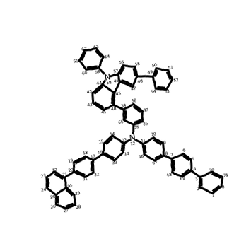 c1ccc(-c2ccc(-c3ccc(N(c4ccc(-c5ccc(-c6cccc7ccccc67)cc5)cc4)c4cccc(-c5cccc6c5c5cc(-c7ccccc7)ccc5n6-c5ccccc5)c4)cc3)cc2)cc1